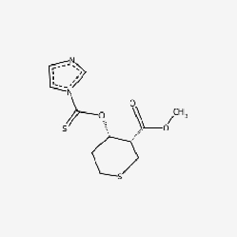 COC(=O)[C@@H]1CSCC[C@@H]1OC(=S)n1ccnc1